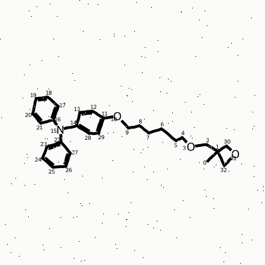 CC1(COCCCCCCOc2ccc(N(c3ccccc3)c3ccccc3)cc2)COC1